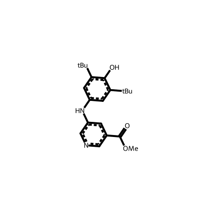 COC(=O)c1cncc(Nc2cc(C(C)(C)C)c(O)c(C(C)(C)C)c2)c1